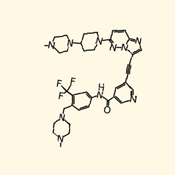 CN1CCN(Cc2ccc(NC(=O)c3cncc(C#Cc4cnc5ccc(N6CCC(N7CCN(C)CC7)CC6)nn45)c3)cc2C(F)(F)F)CC1